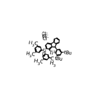 Cc1cc(C)cc([SiH](c2cc(C)cc(C)c2)c2ccc3c([c]2[Ti+3])C(c2cc(C(C)(C)C)cc(C(C)(C)C)c2)c2ccccc2-3)c1.[Cl-].[Cl-].[Cl-]